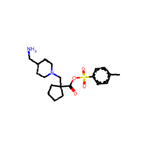 Cc1ccc(S(=O)(=O)OC(=O)C2(CN3CCC(CN)CC3)CCCC2)cc1